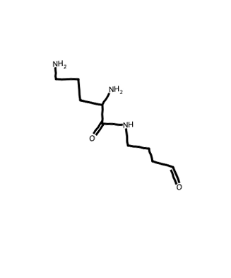 NCCCC(N)C(=O)NCCCC=O